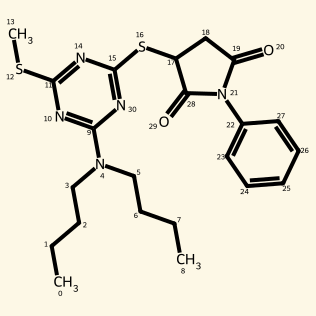 CCCCN(CCCC)c1nc(SC)nc(SC2CC(=O)N(c3ccccc3)C2=O)n1